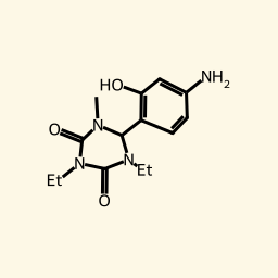 CCN1C(=O)N(C)C(c2ccc(N)cc2O)N(CC)C1=O